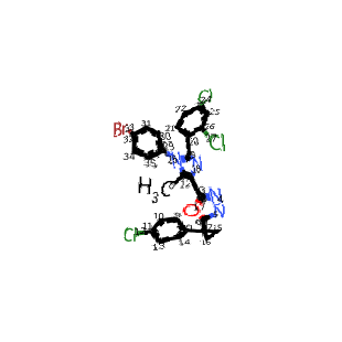 Cc1c(-c2nnc(C3(c4ccc(Cl)cc4)CC3)o2)nc(-c2ccc(Cl)cc2Cl)n1-c1ccc(Br)cc1